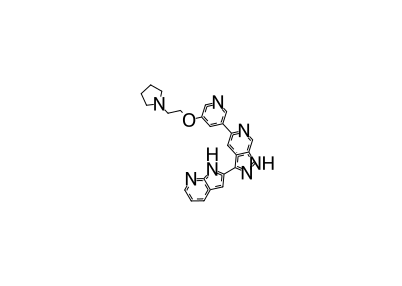 c1cnc2[nH]c(-c3n[nH]c4cnc(-c5cncc(OCCN6CCCC6)c5)cc34)cc2c1